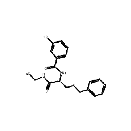 N#CCNC(=O)[C@H](CSCc1ccccc1)NC(=O)c1cccc(O)c1